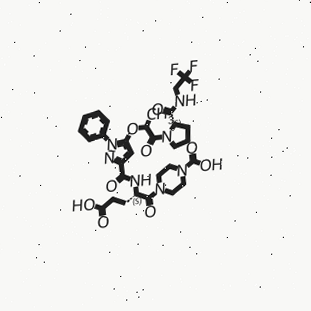 CC(Oc1cc(C(=O)N[C@@H](CCC(=O)O)C(=O)N2CCN(C(=O)O)CC2)nn1-c1ccccc1)C(=O)N1CCC[C@H]1C(=O)NCC(F)(F)F